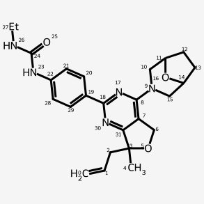 C=CCC1(C)OCc2c(N3CC4CCC(C3)O4)nc(-c3ccc(NC(=O)NCC)cc3)nc21